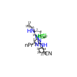 CCCc1cc(N2CCC[C@@H](NCC3CC3)C2)nc(Nc2cccc(C#N)c2)n1.Cl.Cl